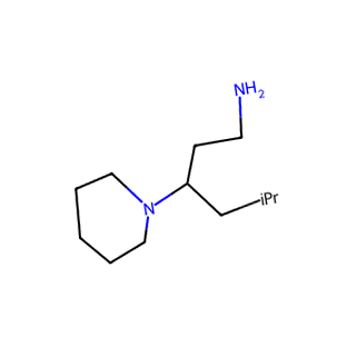 CC(C)CC(CCN)N1CCCCC1